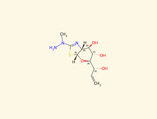 C=C[C@@H](O)[C@H]1O[C@@H]2SC(N(C)N)=N[C@@H]2[C@@H](O)[C@@H]1O